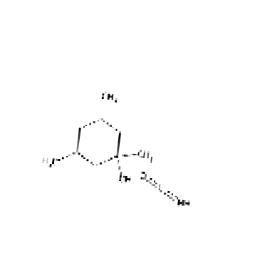 CC1CC(C)CC(C)(C)C1.N=C=O